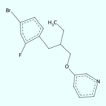 CCC(COc1cccnc1)Cc1ccc(Br)cc1F